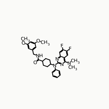 COc1cc(CNC(=O)C2CCC(N(c3ccccc3)c3nc(N(C)C)c4cc(F)c(F)cc4n3)CC2)cc(OC)c1